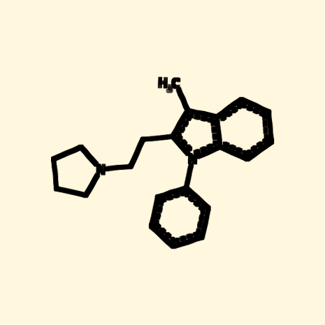 Cc1c(CCN2CCCC2)n(-c2ccccc2)c2ccccc12